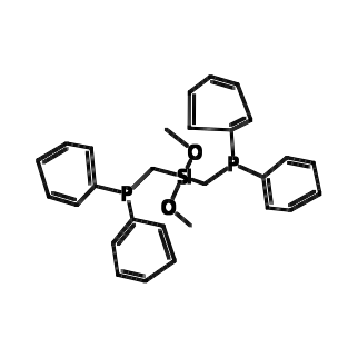 CO[Si](CP(c1ccccc1)c1ccccc1)(CP(c1ccccc1)c1ccccc1)OC